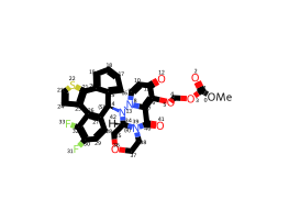 COC(=O)OCOc1c2n(ccc1=O)N([C@@H]1c3ccccc3-c3sccc3-c3c1ccc(F)c3F)[C@@H]1COCCN1C2=O